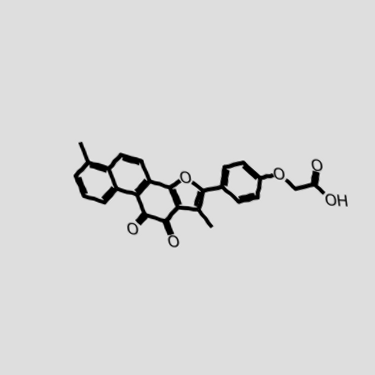 Cc1c(-c2ccc(OCC(=O)O)cc2)oc2c1C(=O)C(=O)c1c-2ccc2c(C)cccc12